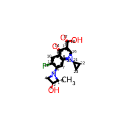 C[C@@H]1[C@@H](O)CN1c1cc2c(cc1F)c(=O)c(C(=O)O)cn2C1CC1